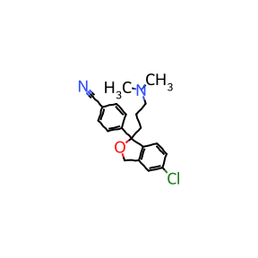 CN(C)CCCC1(c2ccc(C#N)cc2)OCc2cc(Cl)ccc21